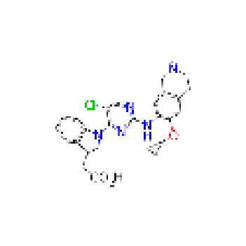 CN1CCc2cc(OC3CC3)c(Nc3ncc(Cl)c(N4CC(CC(=O)O)c5ccccc54)n3)cc2C1